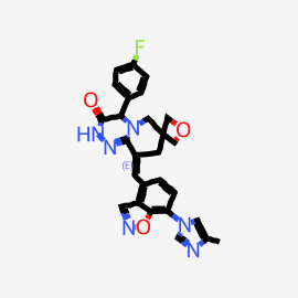 Cc1cn(-c2ccc(/C=C3\CC4(COC4)CN4C3=NNC(=O)C4c3ccc(F)cc3)c3cnoc23)cn1